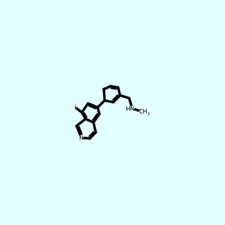 CNCC1=CC(c2cc(I)c3cnccc3c2)CC=C1